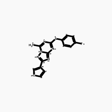 Nc1nc(Sc2ccc(F)cc2)nc2nc(-c3ccoc3)nn12